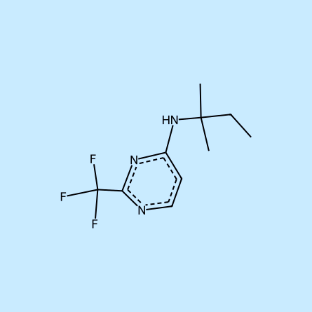 CCC(C)(C)Nc1ccnc(C(F)(F)F)n1